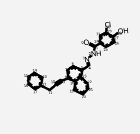 O=C(N/N=C/c1ccc(C#CCc2ccccc2)c2ccccc12)c1ccc(O)c(Cl)c1